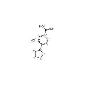 Cl.OB(O)c1ccc(N2CCCC2)cc1